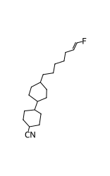 N#CC1CCC(C2CCC(CCCCCC=CF)CC2)CC1